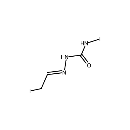 O=C(NI)N/N=C/CI